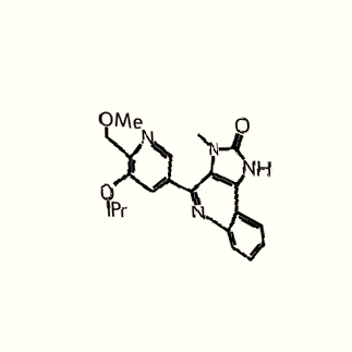 COCc1ncc(-c2nc3ccccc3c3[nH]c(=O)n(C)c23)cc1OC(C)C